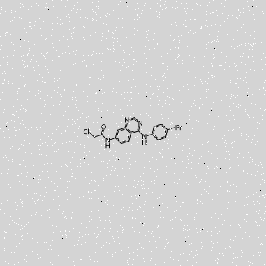 CC(C)c1ccc(Nc2ncnc3cc(NC(=O)CCl)ccc23)cc1